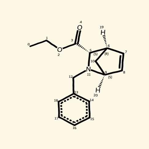 CCOC(=O)[C@@H]1[C@H]2C=C[C@H](C2)N1Cc1ccccc1